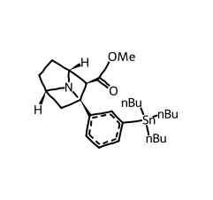 CCC[CH2][Sn]([CH2]CCC)([CH2]CCC)[c]1cccc([C@H]2C[C@@H]3CC[C@H]([C@H]2C(=O)OC)N3C)c1